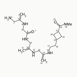 C=C(CN)NCC(=O)NCC(=C)NCC(=C)NCCC1CC(C(=O)NC)C1